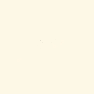 C[C@H]1C[C@H]2[C@@H]3CCC4=CC(=O)CC[C@]4(C)[C@@]3(Cl)CC[C@]2(C)[C@@]1(OC(=O)c1cccc(I)c1)C(=O)O